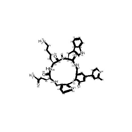 Cc1cc(-c2cc(Cl)c3c(c2)CNC(=O)[C@H](Cc2c[nH]c4ccccc24)N(C)C(=O)[C@H](CCCCN)NC(=O)[C@H](CCC(N)=O)NCc2cccnc2S3)ccn1